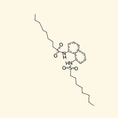 CCCCCCCCS(=O)(=O)Nc1cccc2cccc(NS(=O)(=O)CCCCCCCC)c12